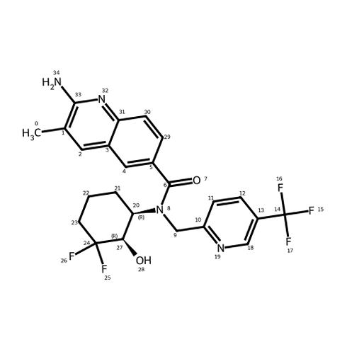 Cc1cc2cc(C(=O)N(Cc3ccc(C(F)(F)F)cn3)[C@@H]3CCCC(F)(F)[C@@H]3O)ccc2nc1N